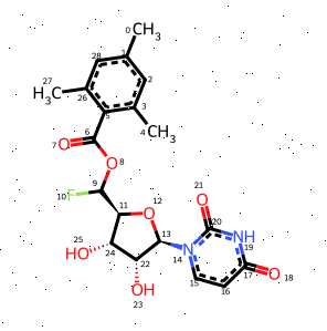 Cc1cc(C)c(C(=O)OC(F)[C@H]2O[C@@H](n3ccc(=O)[nH]c3=O)[C@H](O)[C@@H]2O)c(C)c1